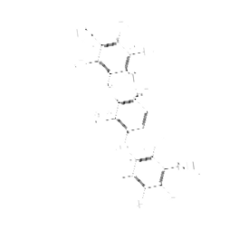 Nc1c(F)c(F)c(F)c(Oc2ccc(C(F)(F)F)c(Oc3c(F)c(N)c(F)c(F)c3F)c2C(F)(F)F)c1F